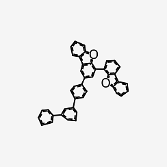 c1ccc(-c2cccc(-c3ccc(-c4cc(-c5cccc6c5oc5ccccc56)c5oc6ccccc6c5c4)cc3)c2)cc1